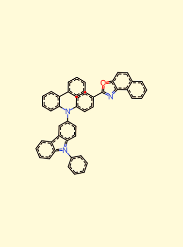 c1ccc(-c2ccccc2N(c2ccc(-c3nc4c(ccc5ccccc54)o3)cc2)c2ccc3c(c2)c2ccccc2n3-c2ccccc2)cc1